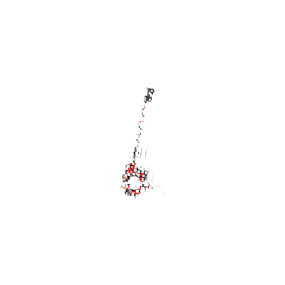 CC[C@H](C)[C@@H]1NC(=O)CNC(=O)[C@@H]2Cc3c([nH]c4c(CSCCCCNC(=O)NCCOCCOCCOCCOCCOCCOCCOCCn5cc(CN6C(=O)C=CC6=O)nn5)c(OC)ccc34)[S+]([O-])C[C@H](NC(=O)CNC1=O)C(=O)N[C@@H](CCC(N)=O)C(=O)N1C[C@H](O)C[C@H]1C(=O)N[C@@H]([C@@H](C)[C@@H](O)CO)C(=O)N2